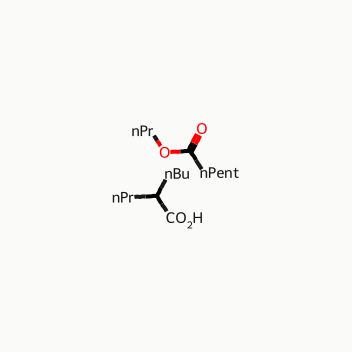 CCCCC(CCC)C(=O)O.CCCCCC(=O)OCCC